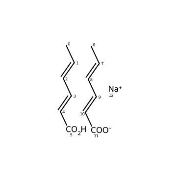 C/C=C/C=C/C(=O)O.C/C=C/C=C/C(=O)[O-].[Na+]